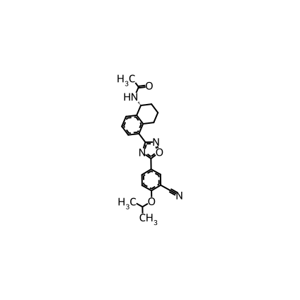 CC(=O)N[C@@H]1CCCc2c(-c3noc(-c4ccc(OC(C)C)c(C#N)c4)n3)cccc21